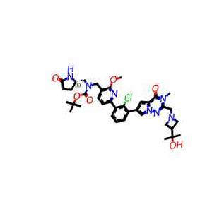 COc1nc(-c2cccc(-c3cc4c(=O)n(C)c(CN5CC(C(C)(C)O)C5)nn4c3)c2Cl)ccc1CN(C[C@@H]1CCC(=O)N1)C(=O)OC(C)(C)C